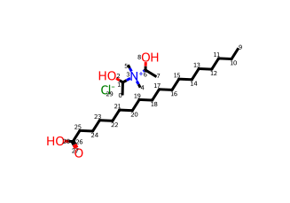 CC(O)[N+](C)(C)C(C)O.CCCCCCCCCCCCCCCCCC(=O)O.[Cl-]